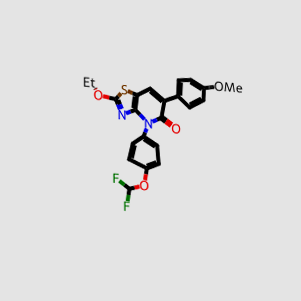 CCOc1nc2c(cc(-c3ccc(OC)cc3)c(=O)n2-c2ccc(OC(F)F)cc2)s1